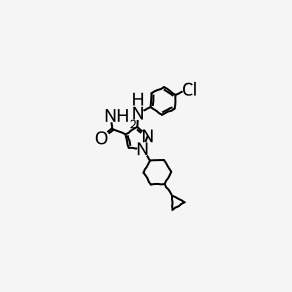 NC(=O)c1cn(C2CCC(C3CC3)CC2)nc1Nc1ccc(Cl)cc1